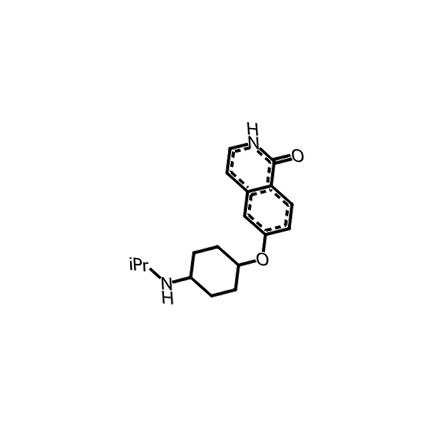 CC(C)NC1CCC(Oc2ccc3c(=O)[nH]ccc3c2)CC1